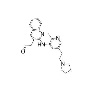 Cc1ncc(CCN2CCCC2)cc1Nc1nc2ccccc2cc1CC=O